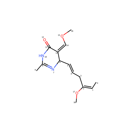 C/C=C(\CC=CC1N=C(C)NC(=O)/C1=C\OC)OC